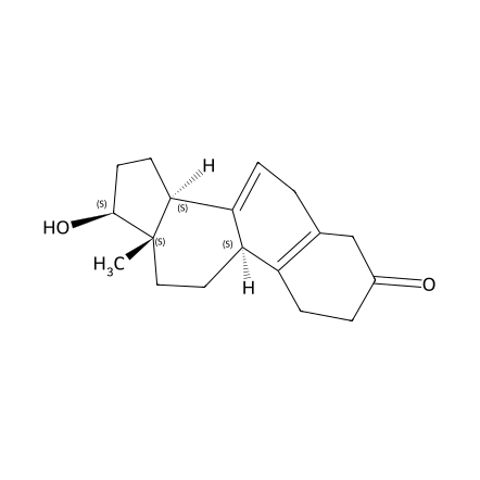 C[C@]12CC[C@H]3C(=CCC4=C3CCC(=O)C4)[C@@H]1CC[C@@H]2O